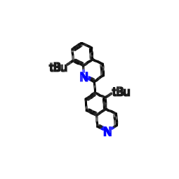 CC(C)(C)c1c(-c2ccc3cccc(C(C)(C)C)c3n2)ccc2cnccc12